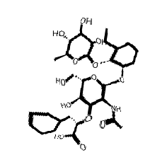 CCC1CCC[C@@H](O[C@@H]2O[C@@H](CO)[C@H](O)C(O[C@@H](CC3CCCCC3)C(=O)O)C2NC(C)=O)[C@@H]1OC1O[C@@H](C)[C@H](O)C(O)[C@@H]1O